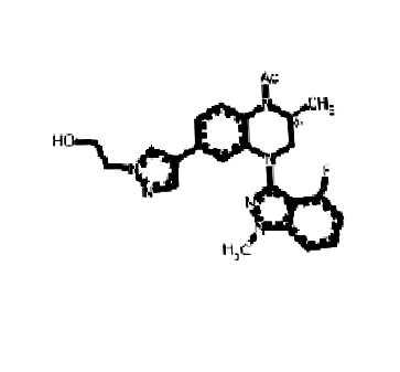 CC(=O)N1c2ccc(-c3cnn(CCO)c3)cc2N(c2nn(C)c3cccc(F)c23)C[C@@H]1C